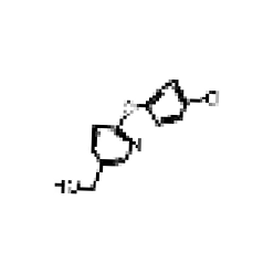 OCc1ccc(Oc2ccc(Cl)cc2)nc1